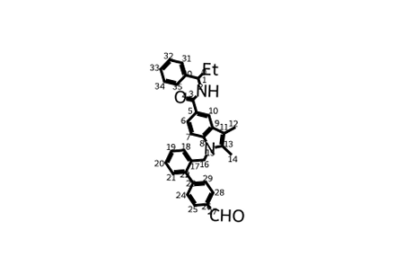 CCC(NC(=O)c1ccc2c(c1)c(C)c(C)n2Cc1ccccc1-c1ccc(C=O)cc1)c1ccccc1